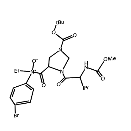 CC[N+]([O-])(C(=O)C1CN(C(=O)OC(C)(C)C)CN1C(=O)C(NC(=O)OC)C(C)C)c1ccc(Br)cc1